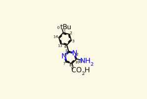 CC(C)(C)c1ccc(-c2ncc(C(=O)O)c(N)n2)cc1